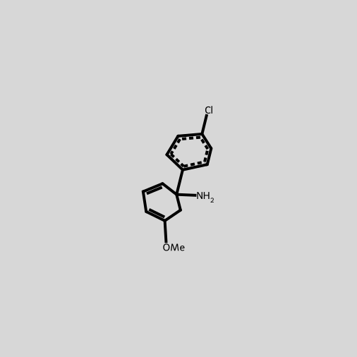 COC1=CC=CC(N)(c2ccc(Cl)cc2)C1